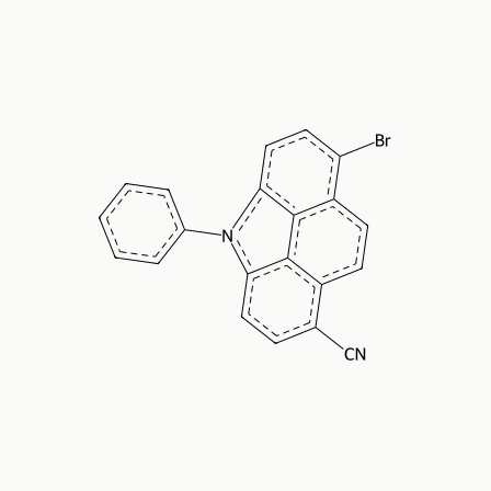 N#Cc1ccc2c3c1ccc1c(Br)ccc(c13)n2-c1ccccc1